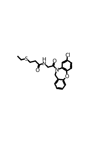 CCSCCC(=O)NCC(=O)N1Cc2ccccc2Oc2ccc(Cl)cc21